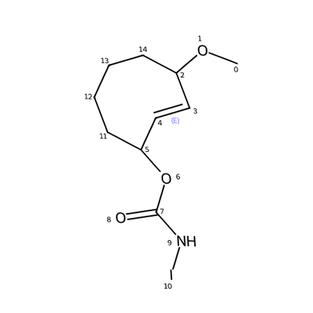 COC1/C=C/C(OC(=O)NI)CCCC1